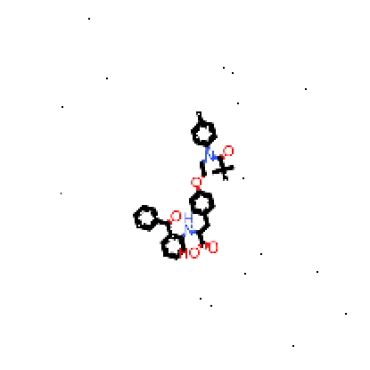 Cc1ccc(N(CCOc2ccc(CC(Nc3ccccc3C(=O)c3ccccc3)C(=O)O)cc2)C(=O)C(C)(C)C)cc1